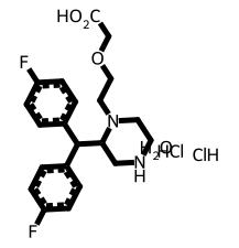 Cl.Cl.O.O=C(O)COCCN1CCNCC1C(c1ccc(F)cc1)c1ccc(F)cc1